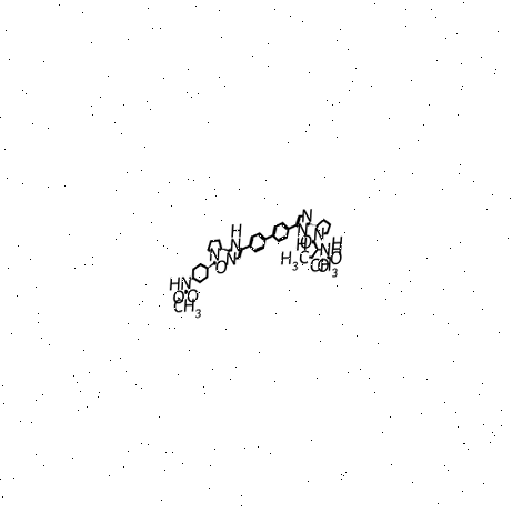 COC(=O)N[C@H]1CC[C@H](C(=O)N2CCC[C@H]2c2ncc(-c3ccc(-c4ccc(-c5cnc([C@@H]6CCCN6C(=O)[C@@H](NC(=O)O)C(C)C)[nH]5)cc4)cc3)[nH]2)CC1